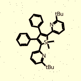 CC(C)(C)c1cccc(C2=C(c3ccccc3)C(c3ccccc3)=C(c3cccc(C(C)(C)C)n3)[Si]2(C)C)n1